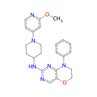 COc1cc(N2CCC(Nc3ncc4c(n3)N(c3ccccc3)CCO4)CC2)ccn1